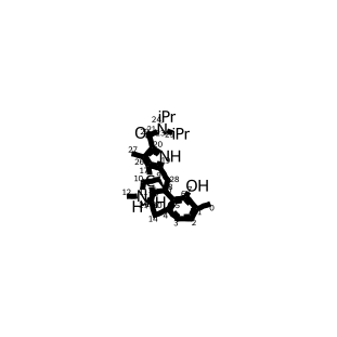 Cc1ccc2c(c1O)[C@]13CCN(C)[C@H](C2)[C@@H]1Cc1c([nH]c(C(=O)N(C(C)C)C(C)C)c1C)C3